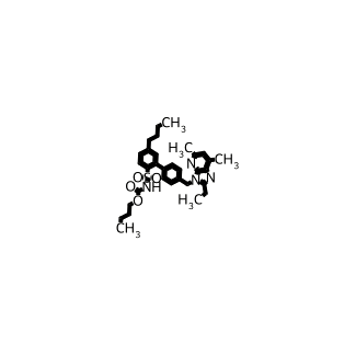 CCCCOC(=O)NS(=O)(=O)c1ccc(CCCC)cc1-c1ccc(Cn2c(CC)nc3c(C)cc(C)nc32)cc1